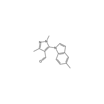 Cc1ccc2c(ccn2-c2c(C=O)c(C)nn2C)c1